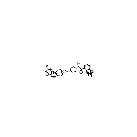 CC(Oc1ccc2c(n1)CCN(CC[C@H]1CC[C@H](NC(=O)c3cccc4nn(C)cc34)CC1)CC2)C(F)F